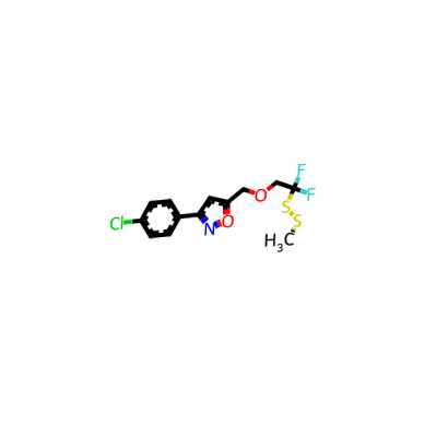 CSSC(F)(F)COCc1cc(-c2ccc(Cl)cc2)no1